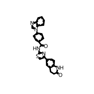 O=C1CCc2cc(-c3csc(NC(=O)c4ccc(-n5cnc6ccccc65)cc4)n3)ccc2N1